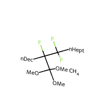 C.CCCCCCCCCCC(F)(C(F)(F)CCCCCCC)C(OC)(OC)OC